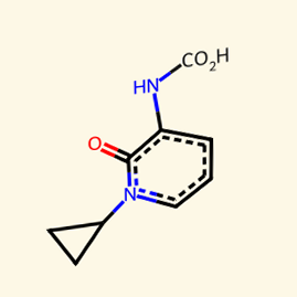 O=C(O)Nc1cccn(C2CC2)c1=O